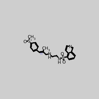 C/C(=C\c1ccc([S+](C)[O-])cc1)CNCCNS(=O)(=O)c1cccc2cnccc12